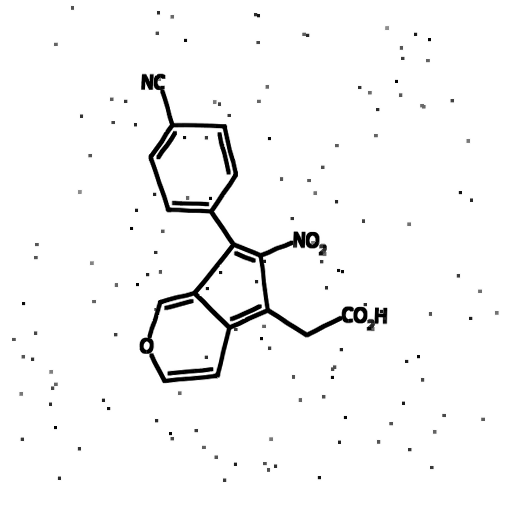 N#Cc1ccc(-c2c3coccc-3c(CC(=O)O)c2[N+](=O)[O-])cc1